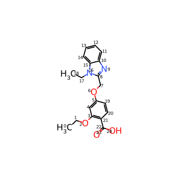 CCOc1cc(OCc2nc3ccccc3n2CC)ccc1C(=O)O